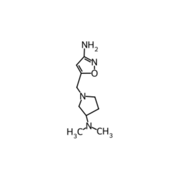 CN(C)C1CCN(Cc2cc(N)no2)C1